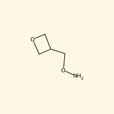 NOCC1COC1